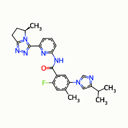 Cc1cc(F)c(C(=O)Nc2cccc(-c3nnc4n3[C@H](C)CC4)n2)cc1-n1cnc(C(C)C)c1